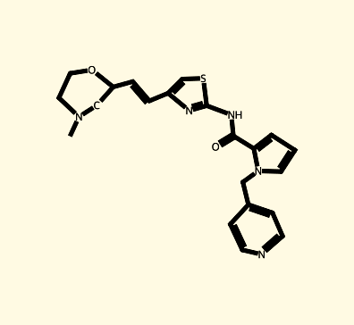 CN1CCOC(C=Cc2csc(NC(=O)c3cccn3Cc3ccncc3)n2)C1